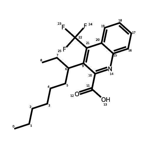 CCCCCCC(CC)c1c(C(=O)O)nc2ccccc2c1C(F)(F)F